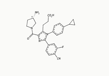 N#Cc1ccc(-c2nc(C(=O)N3CC[C@H](N)C3)c(CCC(=O)O)n2-c2ccc(C3CC3)cc2)cc1F